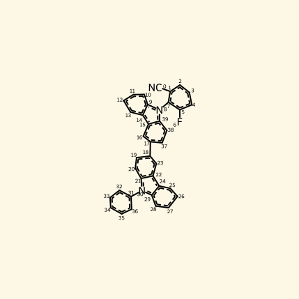 N#Cc1cccc(F)c1-n1c2ccccc2c2cc(-c3ccc4c(c3)c3ccccc3n4-c3ccccc3)ccc21